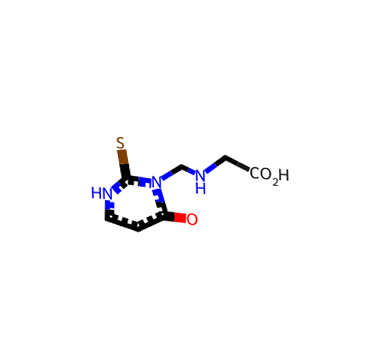 O=C(O)CNCn1c(=O)cc[nH]c1=S